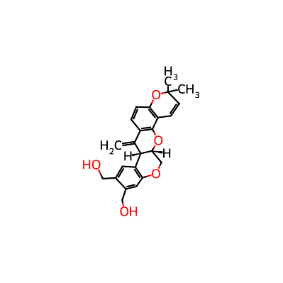 C=C1c2ccc3c(c2O[C@@H]2COc4cc(CO)c(CO)cc4[C@H]12)C=CC(C)(C)O3